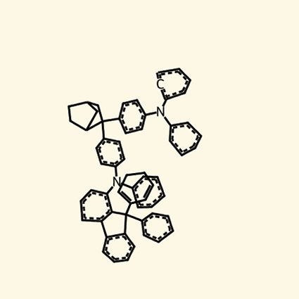 C1=CC(C2(c3ccccc3)c3ccccc3-c3cccc(N(c4ccccc4)c4ccc(C5(c6ccc(N(c7ccccc7)c7ccccc7)cc6)CC6CCC5C6)cc4)c32)=CCC1